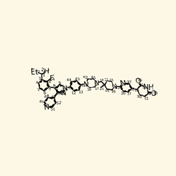 [2H]C(CC)c1cccc(-c2cn(-c3ccc(N4CCN(CC5(C)CCN(c6ccc(C7CCC(=O)NC7=O)cn6)CC5)CC4)cc3)nc2-c2ccncc2)c1F